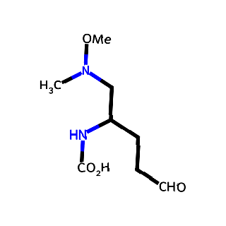 CON(C)CC(CCC=O)NC(=O)O